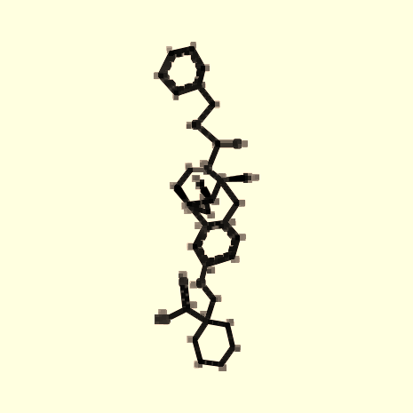 O=C(OCc1ccccc1)N1CC[C@]23CCCC[C@H]2[C@H]1Cc1ccc(OCC2(C(=O)O)CCCCC2)cc13